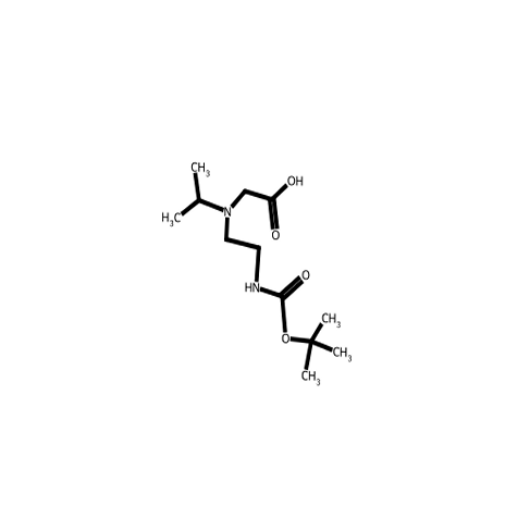 CC(C)N(CCNC(=O)OC(C)(C)C)CC(=O)O